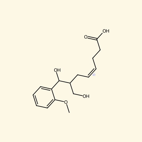 COc1ccccc1C(O)C(CO)C/C=C\CCC(=O)O